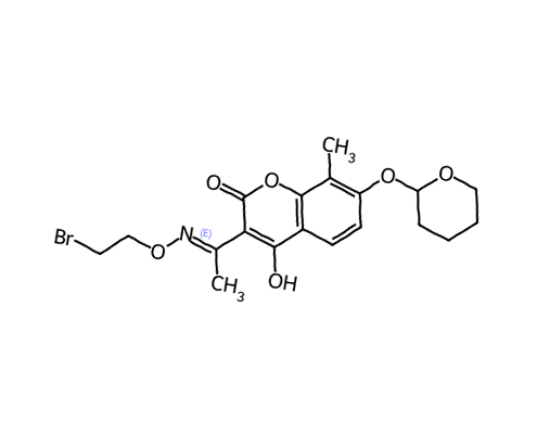 C/C(=N\OCCBr)c1c(O)c2ccc(OC3CCCCO3)c(C)c2oc1=O